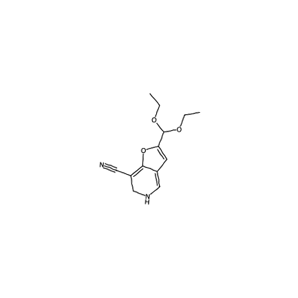 CCOC(OCC)c1cc2c(o1)=C(C#N)CNC=2